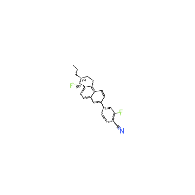 CCC[C@H]1CCc2c(ccc3cc(-c4ccc(C#N)c(F)c4)ccc23)[C@@H]1F